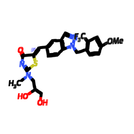 COc1ccc(Cn2ncc3cc(/C=C4\SC(N(C)CC(O)CO)=NC4=O)ccc32)c(C(F)(F)F)c1